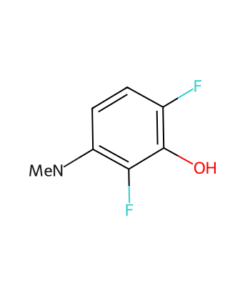 CNc1ccc(F)c(O)c1F